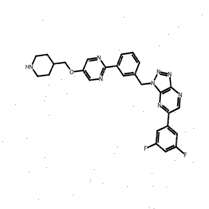 Fc1cc(F)cc(-c2cnc3nnn(Cc4cccc(-c5ncc(OCC6CCNCC6)cn5)c4)c3n2)c1